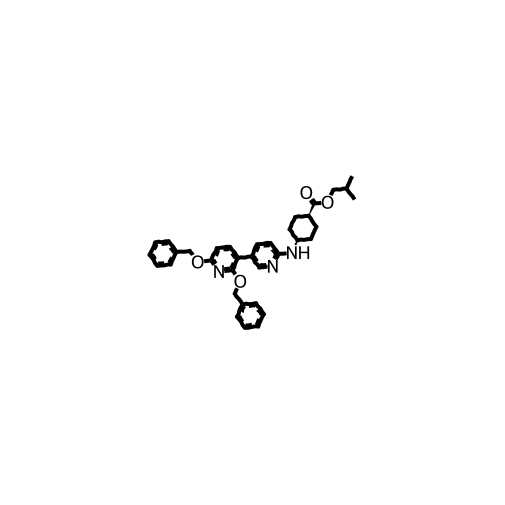 CC(C)COC(=O)[C@H]1CC[C@H](Nc2ccc(-c3ccc(OCc4ccccc4)nc3OCc3ccccc3)cn2)CC1